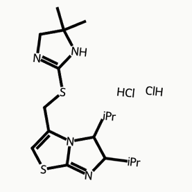 CC(C)C1N=C2SC=C(CSC3=NCC(C)(C)N3)N2C1C(C)C.Cl.Cl